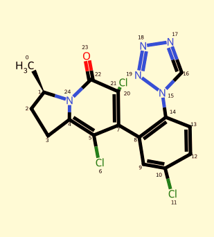 C[C@@H]1CCc2c(Cl)c(-c3cc(Cl)ccc3-n3cnnn3)c(Cl)c(=O)n21